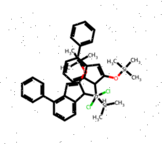 C[SiH](C)[Zr]([Cl])([Cl])([CH]1C(O[Si](C)(C)C)=Cc2c(-c3ccccc3)cccc21)[CH]1C(O[Si](C)(C)C)=Cc2c(-c3ccccc3)cccc21